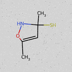 CC1=CC(C)(S)NO1